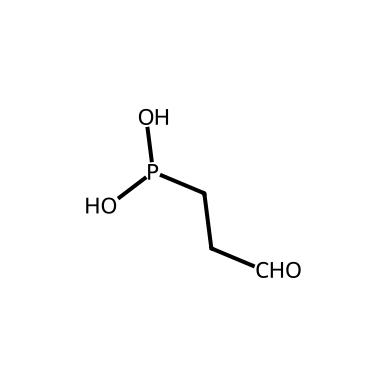 O=CCCP(O)O